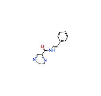 O=C(NC=Cc1ccccc1)c1cnccn1